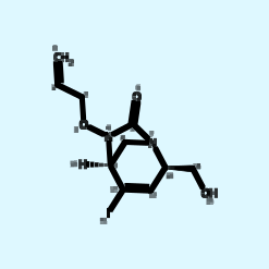 C=CCON1C(=O)N2C[C@H]1C(I)=C[C@@H]2CO